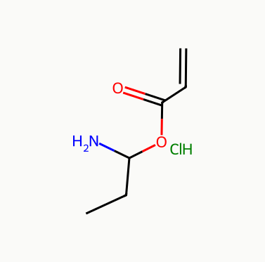 C=CC(=O)OC(N)CC.Cl